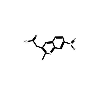 Cc1nc2cc([N+](=O)[O-])ccc2cc1CC(=O)O